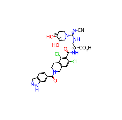 N#C/N=C(\NC[C@H](NC(=O)c1c(Cl)cc2c(c1Cl)CCN(C(=O)c1ccc3cn[nH]c3c1)C2)C(=O)O)N1CC[C@H](O)[C@@H](O)C1